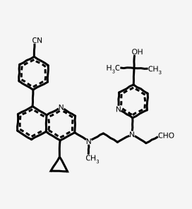 CN(CCN(CC=O)c1ccc(C(C)(C)O)cn1)c1cnc2c(-c3ccc(C#N)cc3)cccc2c1C1CC1